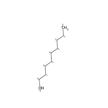 CCCCCC[CH]CCO